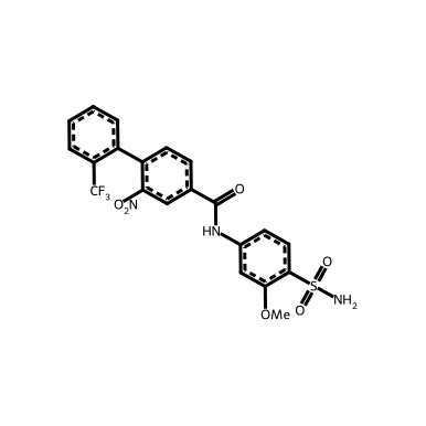 COc1cc(NC(=O)c2ccc(-c3ccccc3C(F)(F)F)c([N+](=O)[O-])c2)ccc1S(N)(=O)=O